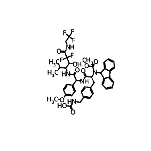 COC(=O)N(C1c2ccccc2-c2ccccc21)[C@@H](Cc1ccc(CNC(=O)O)cc1)C(=O)N[C@H](C(=O)N[C@@H](C(C)C)[C@@H](O)C(F)(F)C(=O)NCC(F)(F)F)c1ccc(OC)cc1